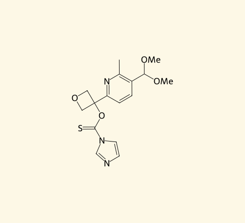 COC(OC)c1ccc(C2(OC(=S)n3ccnc3)COC2)nc1C